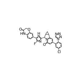 O=C1COc2cc(-c3[nH]c(C4C5CC5c5cc(-c6cc(Cl)ccc6-n6cnnn6)cc(=O)n54)nc3F)ccc2N1